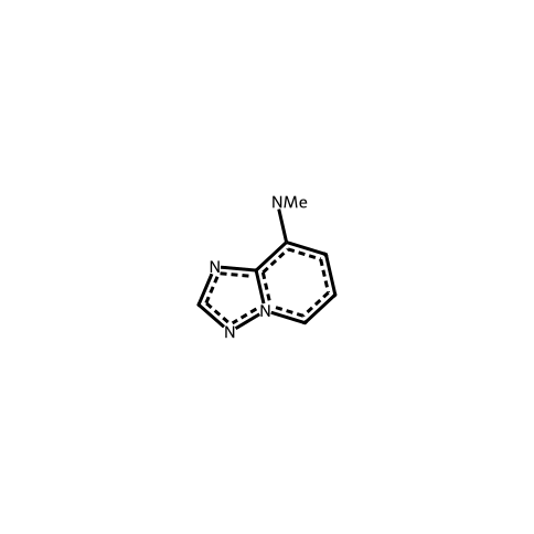 CNc1cccn2ncnc12